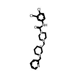 O=C(Nc1ccc(Cl)c(Cl)c1)N1CCN(C[C@@H]2CCCN(Cc3ccccn3)C2)CC1